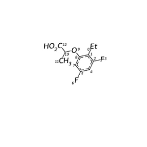 CCc1c(F)cc(F)cc1OC(C)C(=O)O